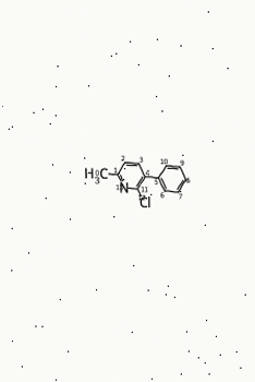 Cc1ccc(-c2ccccc2)c(Cl)n1